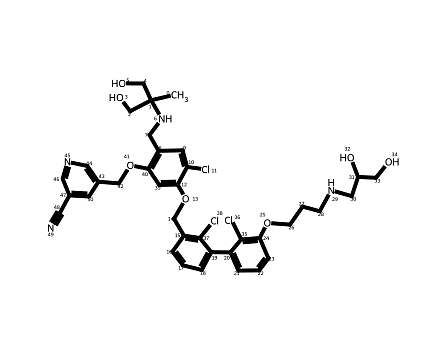 CC(CO)(CO)NCc1cc(Cl)c(OCc2cccc(-c3cccc(OCCCNCC(O)CO)c3Cl)c2Cl)cc1OCc1cncc(C#N)c1